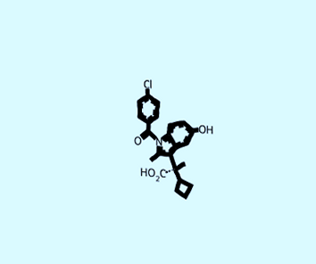 Cc1c([C@](C)(C(=O)O)C2CCC2)c2cc(O)ccc2n1C(=O)c1ccc(Cl)cc1